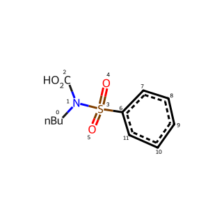 CCCCN(C(=O)O)S(=O)(=O)c1ccccc1